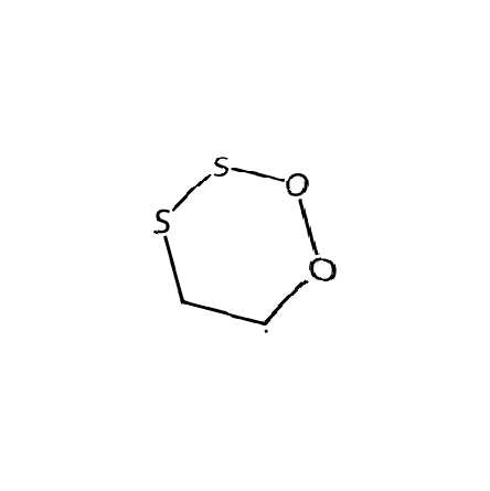 [CH]1CSSOO1